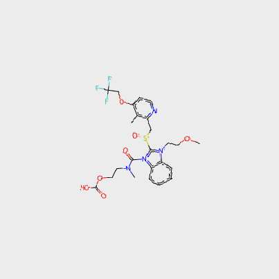 COCC[n+]1c([S@+]([O-])Cc2nccc(OCC(F)(F)F)c2C)n(C(=O)N(C)CCOC(=O)O)c2ccccc21